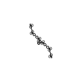 C=CC(=O)OCCCCOC(=O)C1CCC(C2CCC(C(=O)Oc3ccc(OC(=O)C4CCC(C5CCC(C(=O)OCCCCOC(=O)C=C)CC5)CC4)c4c(C)cccc34)CC2)CC1